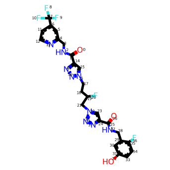 O=C(NCc1cc(C(F)(F)F)ccn1)c1cn(CCC(F)Cn2cc(C(=O)NCc3cc(O)ccc3F)nn2)nn1